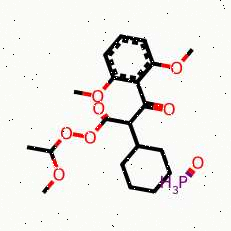 COc1cccc(OC)c1C(=O)C(C(=O)OOC(C)OC)C1CCCCC1.O=[PH3]